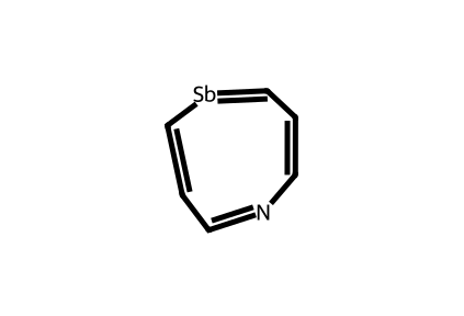 C1=CN=CC=[CH][Sb]=[CH]1